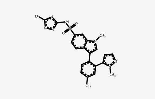 CCc1nsc(NS(=O)(=O)c2ccc3c(-c4ccc(C(F)(F)F)cc4-c4ccnn4C)cn(C)c3c2)n1